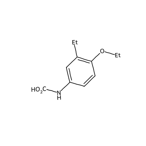 CCOc1ccc(NC(=O)O)cc1CC